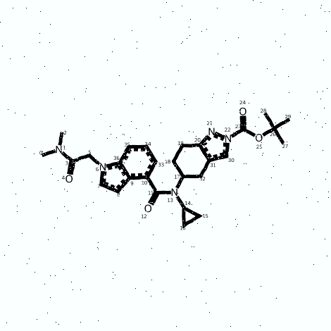 CN(C)C(=O)Cn1ccc2c(C(=O)N(C3CC3)C3CCc4nn(C(=O)OC(C)(C)C)cc4C3)cccc21